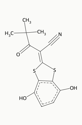 CC(C)(C)C(=O)C(C#N)=C1Sc2c(O)ccc(O)c2S1